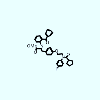 COC(=O)C(Cc1ccc(OCCN(C(=O)C2CCCC2)c2ccc(F)cc2)cc1)Nc1ccccc1C(=O)c1ccccc1